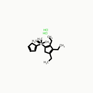 CCC1=C(CC)C(CC)=[C]([Ti]([CH3])([CH3])(=[SiH2])[C]2=CC=CC2)C1.Cl.Cl